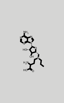 CCCN(CCC(N)C(=O)O)C[C@H]1O[C@@H](n2cnc3c(N)ncnc32)[C@@H](O)C1O